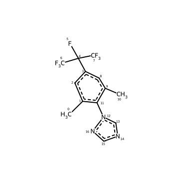 Cc1cc(C(F)(C(F)(F)F)C(F)(F)F)cc(C)c1-n1cn[c]n1